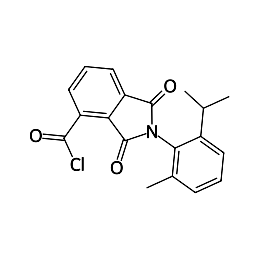 Cc1cccc(C(C)C)c1N1C(=O)c2cccc(C(=O)Cl)c2C1=O